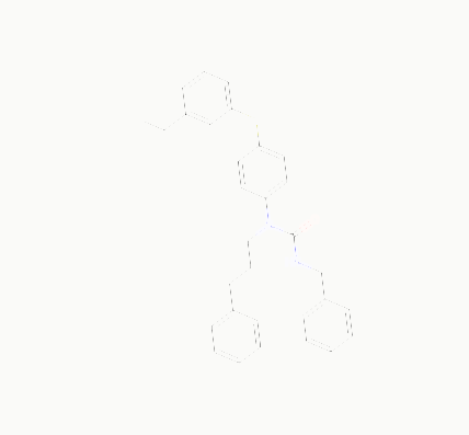 O=C(O)Cc1cccc(Sc2ccc(N(CCCc3ccccc3)C(=O)NCc3ccccc3)cc2)c1